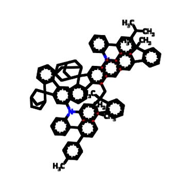 Cc1ccc(-c2ccc(C(C)C)cc2-c2ccccc2N(c2ccc3c(c2)C(C)(CCc2ccc(-c4ccc(C(C)C)cc4-c4ccccc4N(c4ccc5c(c4)C(C)(C)c4ccccc4-5)c4ccc5c(c4)C4(c6ccccc6-5)C5CC6CC(C5)CC4C6)cc2)c2ccccc2-3)c2ccc3c(c2)C2(CC4CCC2C4)c2ccccc2-3)cc1